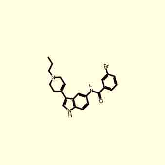 CCCN1CC=C(c2c[nH]c3ccc(NC(=O)c4cccc(Br)c4)cc23)CC1